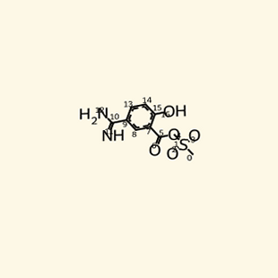 CS(=O)(=O)OC(=O)c1cc(C(=N)N)ccc1O